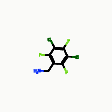 NCc1c(F)c(Cl)c(F)c(Cl)c1F